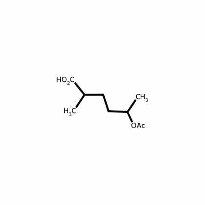 CC(=O)OC(C)CCC(C)C(=O)O